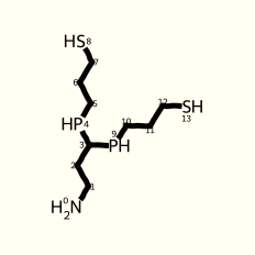 NCCC(PCCCS)PCCCS